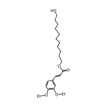 CCOc1ccc(C=CC(=O)OCCCCCCCCCCCO)cc1OCC